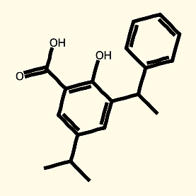 CC(C)c1cc(C(=O)O)c(O)c(C(C)c2ccccc2)c1